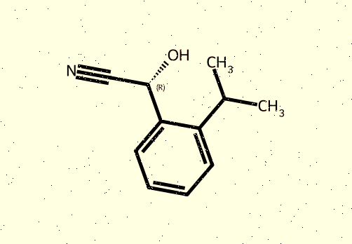 CC(C)c1ccccc1[C@@H](O)C#N